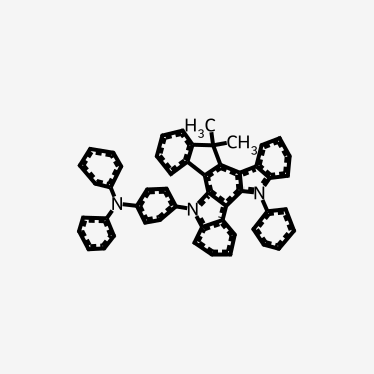 CC1(C)c2ccccc2-c2c1c1c3ccccc3n(-c3ccccc3)c1c1c3ccccc3n(-c3ccc(N(c4ccccc4)c4ccccc4)cc3)c21